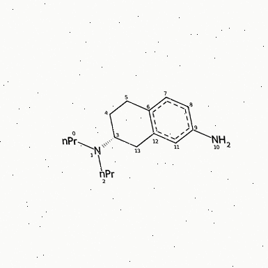 CCCN(CCC)[C@@H]1CCc2ccc(N)cc2C1